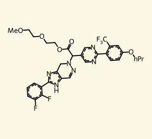 CCCOc1ccc(-c2ncc(C(C(=O)OCCOCCOC)N3Cc4nc(-c5cccc(F)c5F)[nH]c4C=N3)cn2)c(C(F)(F)F)c1